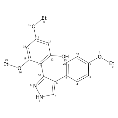 CCOc1ccc(-c2c[nH]nc2-c2c(O)cc(OCC)cc2OCC)cc1